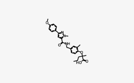 CCCC(C)(Oc1ccc(CNC(=O)c2cc(-c3ccc(OC)cc3)nn2C)cc1C)C(=O)O